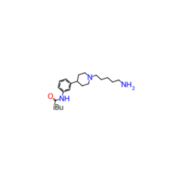 CCC(C)C(=O)Nc1cccc(C2CCN(CCCCCN)CC2)c1